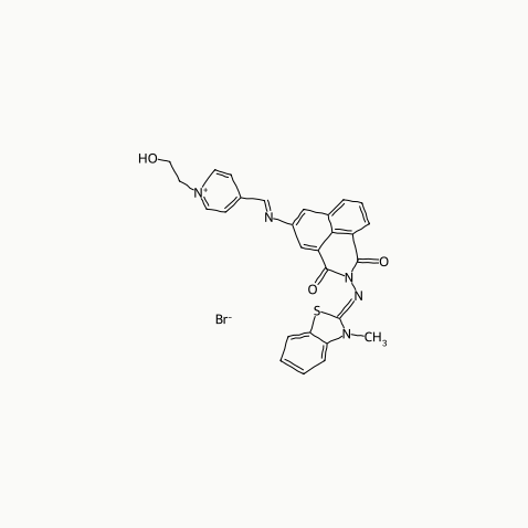 Cn1c(=NN2C(=O)c3cccc4cc(N=Cc5cc[n+](CCO)cc5)cc(c34)C2=O)sc2ccccc21.[Br-]